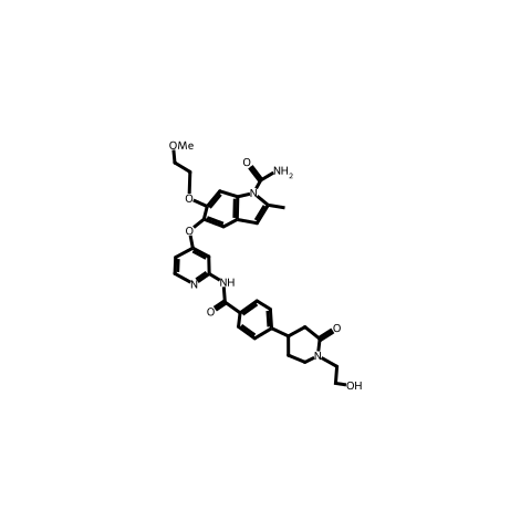 COCCOc1cc2c(cc1Oc1ccnc(NC(=O)c3ccc(C4CCN(CCO)C(=O)C4)cc3)c1)cc(C)n2C(N)=O